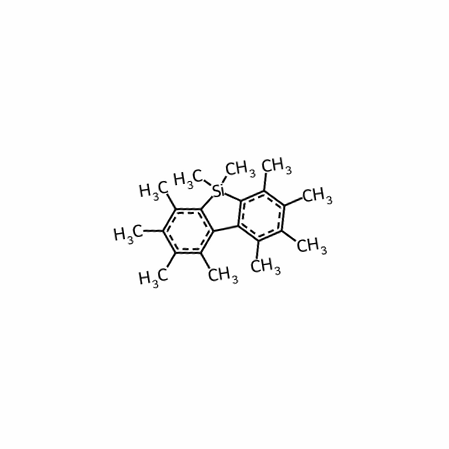 Cc1c(C)c(C)c2c(c1C)-c1c(C)c(C)c(C)c(C)c1[Si]2(C)C